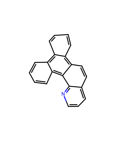 c1cnc2c(c1)ccc1c3ccccc3c3ccccc3c12